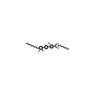 CCCCCCCCCc1ccc(-c2ccc(-c3ccc(C4COC(CCCCCCC)OC4)cc3F)cc2)c(F)c1F